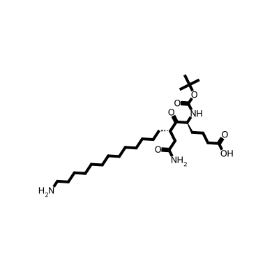 CC(C)(C)OC(=O)N[C@@H](CCCC(=O)O)C(=O)[C@@H](CCCCCCCCCCCCCN)CC(N)=O